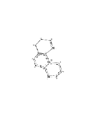 C1=Nc2c(ccc3ncccc23)CC1